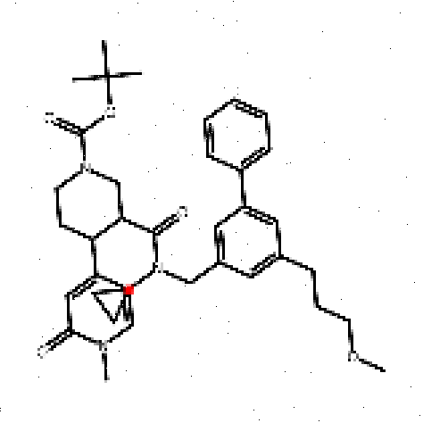 COCCCc1cc(CN(C(=O)C2CN(C(=O)OC(C)(C)C)CCC2c2ccn(C)c(=O)c2)C2CC2)cc(-c2ccccc2)c1